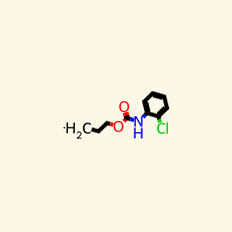 [CH2]CCOC(=O)Nc1ccccc1Cl